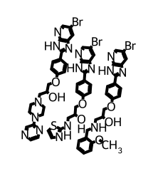 COc1ccccc1CNCC(O)COc1ccc(-c2nc3cc(Br)cnc3[nH]2)cc1.OC(CNc1nccs1)COc1ccc(-c2nc3cc(Br)cnc3[nH]2)cc1.OC(COc1ccc(-c2nc3cc(Br)cnc3[nH]2)cc1)CN1CCN(c2cnccn2)CC1